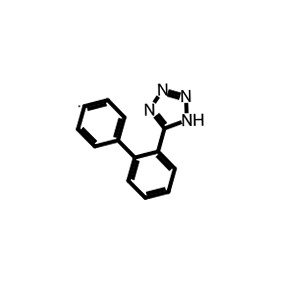 [c]1ccc(-c2ccccc2-c2nnn[nH]2)cc1